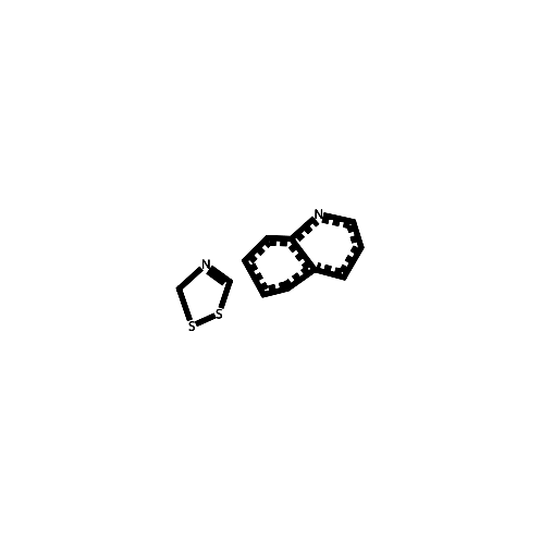 C1=NCSS1.c1ccc2ncccc2c1